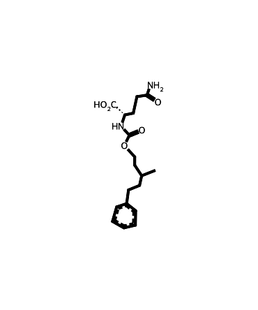 CC(CCOC(=O)N[C@@H](CCC(N)=O)C(=O)O)CCc1ccccc1